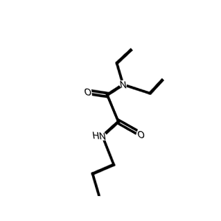 CCCNC(=O)C(=O)N(CC)CC